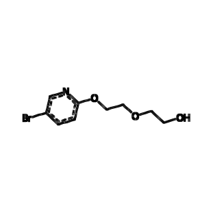 OCCOCCOc1ccc(Br)cn1